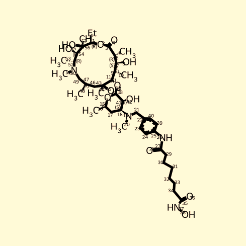 CC[C@H]1OC(=O)[C@H](C)[C@@H](O)[C@H](C)[C@@H](O[C@@H]2O[C@H](C)C[C@H](N(C)Cc3ccc(NC(=O)CCCCCCC(=O)NO)cc3)[C@@H]2O)[C@](C)(O)C[C@@H](C)CN(C)[C@H](C)[C@@H](O)[C@]1(C)O